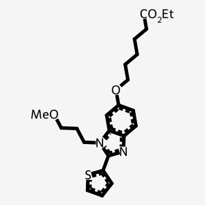 CCOC(=O)CCCCCOc1ccc2nc(-c3cccs3)n(CCCOC)c2c1